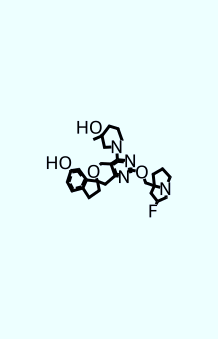 CC1(O)CCCN(c2nc(OCC34CCCN3CC(F)C4)nc3c2COC2(CCc4ccc(O)cc42)C3)C1